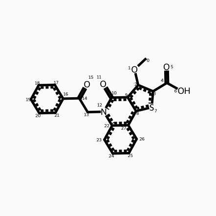 COc1c(C(=O)O)sc2c1c(=O)n(CC(=O)c1ccccc1)c1ccccc21